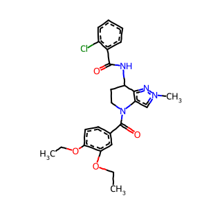 CCOc1ccc(C(=O)N2CCC(NC(=O)c3ccccc3Cl)c3nn(C)cc32)cc1OCC